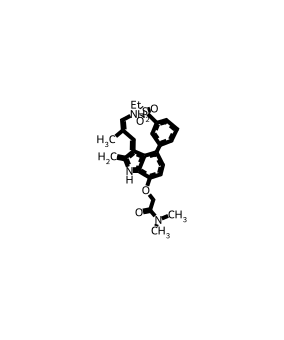 C=c1[nH]c2c(OCC(=O)N(C)C)ccc(-c3cccc(S(=O)(=O)CC)c3)c2/c1=C/C(C)=C\N